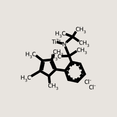 CC1=C(C)C(C)C(c2ccccc2C(C)(C)[N]([Ti+2])C(C)(C)C)=C1C.[Cl-].[Cl-]